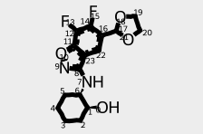 O[C@H]1CCCC[C@@H]1Nc1noc2c(F)c(F)c(C3OCCO3)cc12